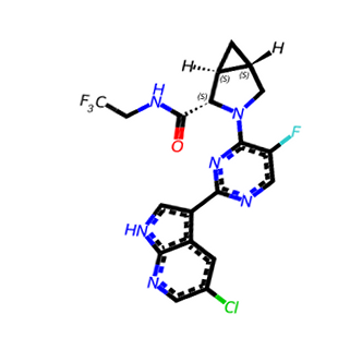 O=C(NCC(F)(F)F)[C@@H]1[C@H]2C[C@@H]2CN1c1nc(-c2c[nH]c3ncc(Cl)cc23)ncc1F